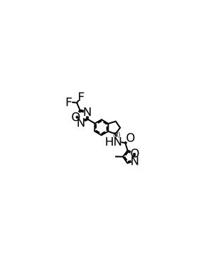 Cc1cnoc1C(=O)N[C@@H]1CCc2cc(-c3noc(C(F)F)n3)ccc21